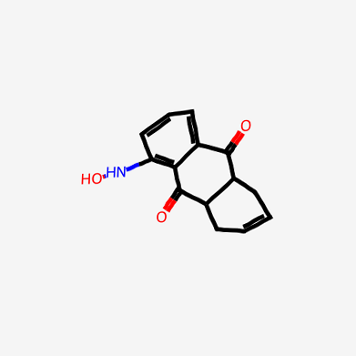 O=C1c2cccc(NO)c2C(=O)C2CC=CCC12